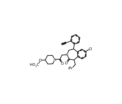 C#Cc1ccccc1C1CN(CC(=O)N2CCC(OC(=O)O)CC2)C(=O)C(CC(C)C)c2ccc(Cl)cc21